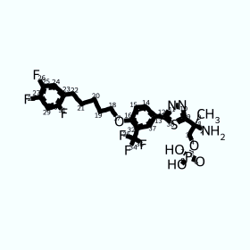 C[C@](N)(COP(=O)(O)O)c1nnc(-c2ccc(OCCCCCc3cc(F)c(F)cc3F)c(C(F)(F)F)c2)s1